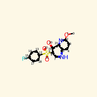 COc1ccc2[nH]cc(S(=O)(=O)c3ccc(F)cc3)c(=O)c2n1